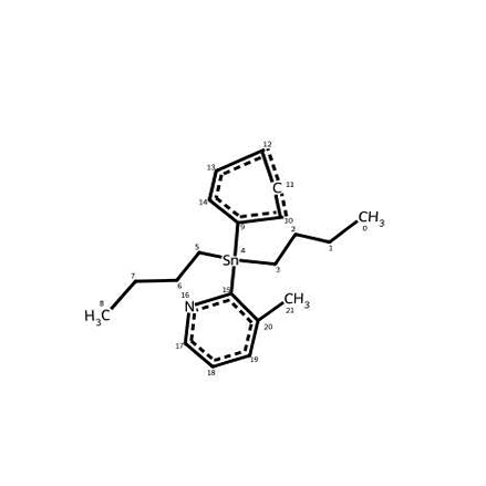 CCC[CH2][Sn]([CH2]CCC)([c]1ccccc1)[c]1ncccc1C